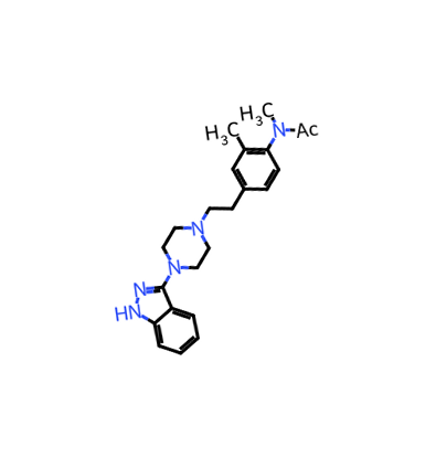 CC(=O)N(C)c1ccc(CCN2CCN(c3n[nH]c4ccccc34)CC2)cc1C